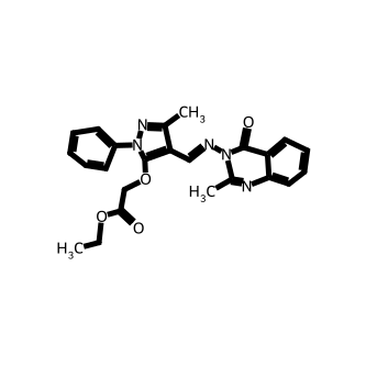 CCOC(=O)COc1c(/C=N/n2c(C)nc3ccccc3c2=O)c(C)nn1-c1ccccc1